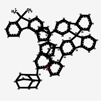 CC1(C)c2ccccc2-c2cc(N(c3ccccc3)c3ccc4c(c3)C3(c5ccccc5-4)c4ccccc4-c4cc(-c5ccccc5)c(N(c5ccccc5)c5ccc(C6C7CC8CC(C7)CC6C8)cc5)cc43)ccc21